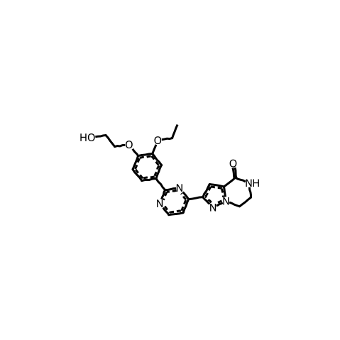 CCOc1cc(-c2nccc(-c3cc4n(n3)CCNC4=O)n2)ccc1OCCO